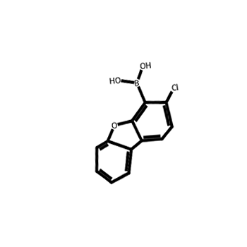 OB(O)c1c(Cl)ccc2c1oc1ccccc12